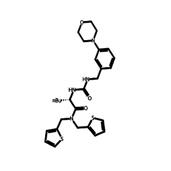 [CH2]CCC[C@H](NC(=O)NCc1cccc(N2CCOCC2)c1)C(=O)N(Cc1cccs1)Cc1cccs1